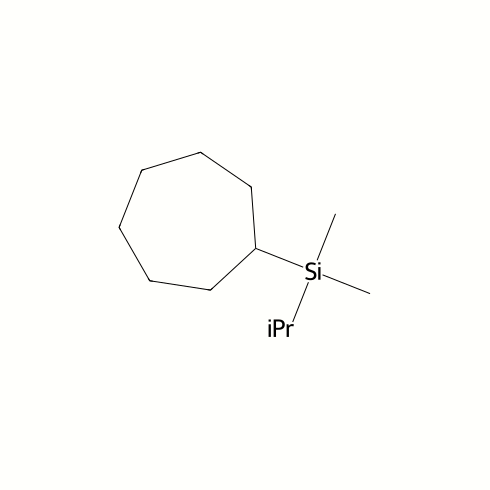 CC(C)[Si](C)(C)C1CCCCCC1